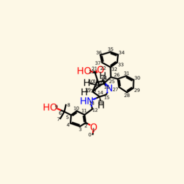 COc1ccc(C(C)(C)O)cc1CN[C@H]1CN2CC[C@H]1[C@H](C(=O)O)[C@@H]2C(c1ccccc1)c1ccccc1